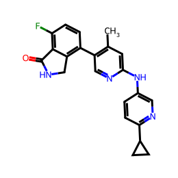 Cc1cc(Nc2ccc(C3CC3)nc2)ncc1-c1ccc(F)c2c1CNC2=O